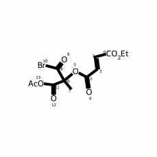 CCOC(=O)C=CC(=O)OC(C)(C(=O)Br)C(=O)OC(C)=O